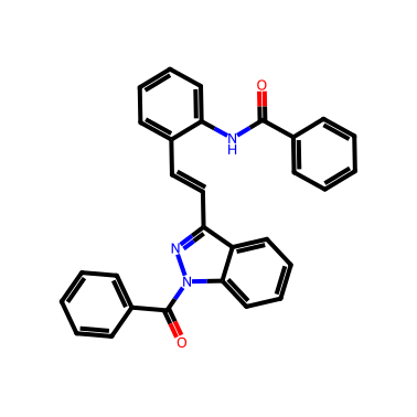 O=C(Nc1ccccc1C=Cc1nn(C(=O)c2ccccc2)c2ccccc12)c1ccccc1